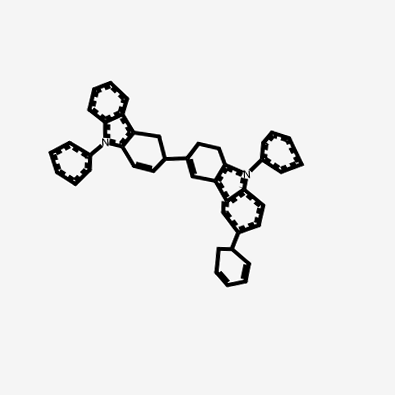 C1=CCC(c2ccc3c(c2)c2c(n3-c3ccccc3)CCC(C3C=Cc4c(c5ccccc5n4-c4ccccc4)C3)=C2)C=C1